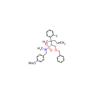 C=CCC(C)(c1ccccc1F)C(COCc1ccccc1)S(=O)(=O)N(C)Cc1ccc(OC)cc1